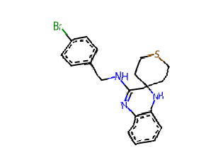 Brc1ccc(CNC2=Nc3ccccc3NC23CCSCC3)cc1